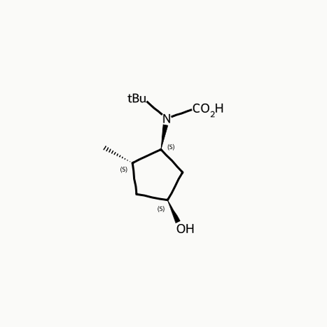 C[C@H]1C[C@H](O)C[C@@H]1N(C(=O)O)C(C)(C)C